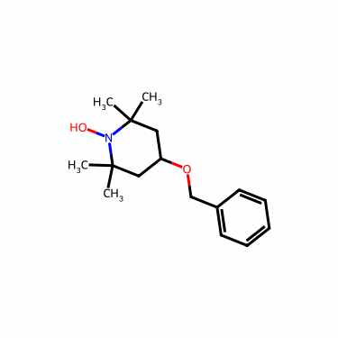 CC1(C)CC(OCc2ccccc2)CC(C)(C)N1O